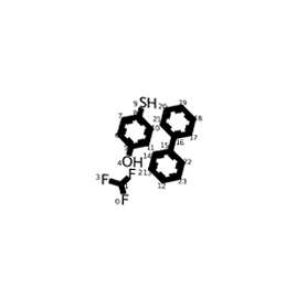 FC(F)F.Oc1ccc(S)cc1.c1ccc(-c2ccccc2)cc1